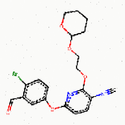 [C-]#[N+]c1ccc(Oc2ccc(Br)c(C=O)c2)nc1OCCOC1CCCCO1